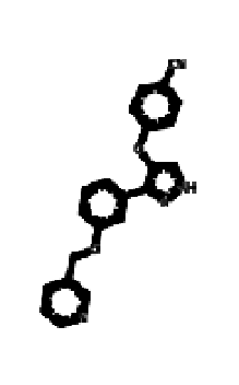 N#Cc1ccc(Oc2c[nH]nc2-c2cccc(OCc3cccnc3)c2)cc1